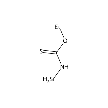 CCOC(=S)N[SiH3]